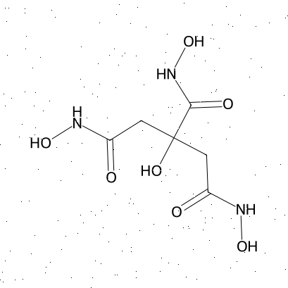 O=C(CC(O)(CC(=O)NO)C(=O)NO)NO